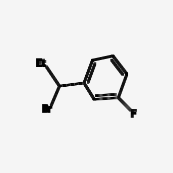 CCC(Br)c1cccc(F)c1